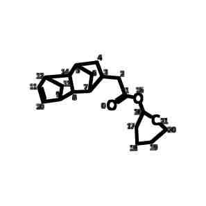 O=C(CC1CC2CC1C1C3C=CC(C3)C21)OC1CCCCC1